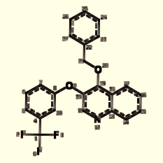 FC(F)(F)c1cccc(Oc2cnc3ccccc3c2OCc2ccccc2)c1